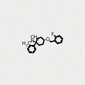 CN(C)[C@]1(c2ccccc2)CC[C@@H](OCc2ccccc2F)CC1